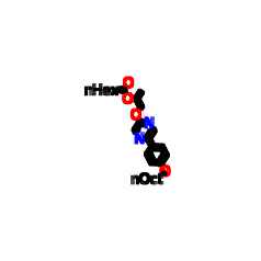 CCCCCCCCOc1ccc(-c2cnc(OCC(C)OC(=O)CCCCCC)cn2)cc1